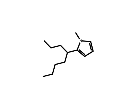 CCCCC(CCC)c1cccn1C